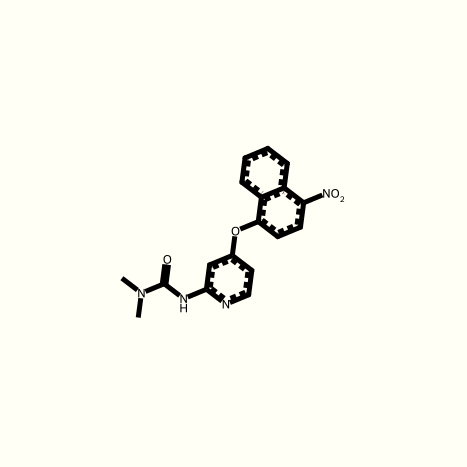 CN(C)C(=O)Nc1cc(Oc2ccc([N+](=O)[O-])c3ccccc23)ccn1